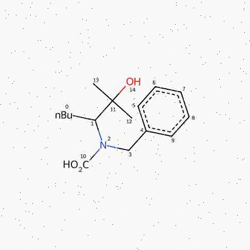 CCCCC(N(Cc1ccccc1)C(=O)O)C(C)(C)O